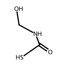 O=C(S)NCO